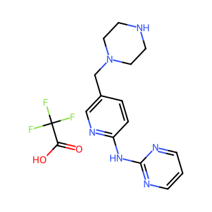 O=C(O)C(F)(F)F.c1cnc(Nc2ccc(CN3CCNCC3)cn2)nc1